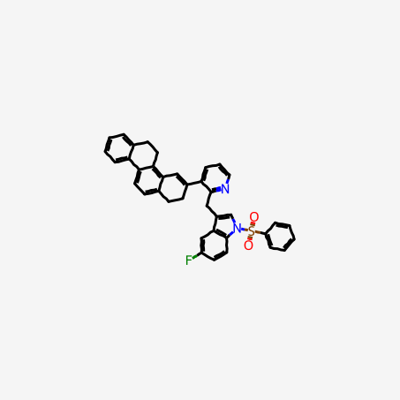 O=S(=O)(c1ccccc1)n1cc(Cc2ncccc2C2=Cc3c(ccc4c3CCc3ccccc3-4)CC2)c2cc(F)ccc21